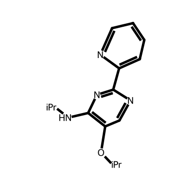 CC(C)Nc1nc(-c2ccccn2)ncc1OC(C)C